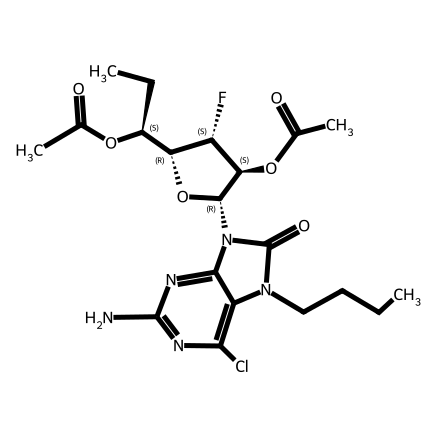 CCCCn1c(=O)n([C@@H]2O[C@H]([C@H](CC)OC(C)=O)[C@H](F)[C@H]2OC(C)=O)c2nc(N)nc(Cl)c21